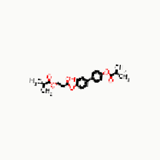 C=C(C)C(=O)OCCC(O)Oc1ccc(-c2ccc(OC(=O)C(=C)C)cc2)cc1